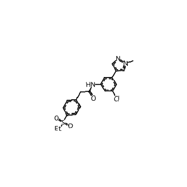 CCS(=O)(=O)c1ccc(CC(=O)Nc2cc(Cl)cc(-c3cnn(C)c3)c2)cc1